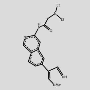 CCN(CC)CC(=O)Nc1cc2cc(/C(C=N)=C/NC)ccc2cn1